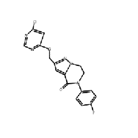 O=C1c2cc(COc3cc(Cl)ncn3)nn2CCN1c1ccc(F)cc1